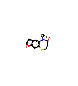 CN1C(=O)CCSc2cc3occc3cc21